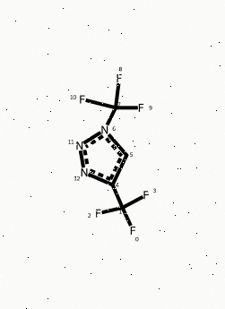 FC(F)(F)c1cn(C(F)(F)F)nn1